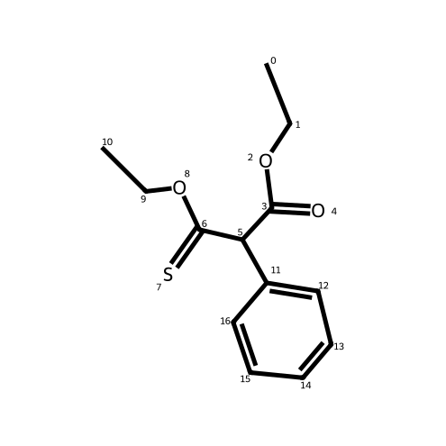 CCOC(=O)C(C(=S)OCC)c1ccccc1